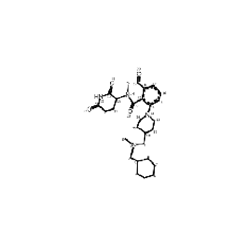 CN(CC1CCCCC1)CC1CCN(c2cccc(C=O)c2C(=O)N(C)C2CCC(=O)NC2=O)CC1